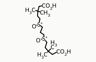 CC(C)(CC[S+]([O-])CCC[S+]([O-])CCC(C)(C)CC(=O)O)CC(=O)O